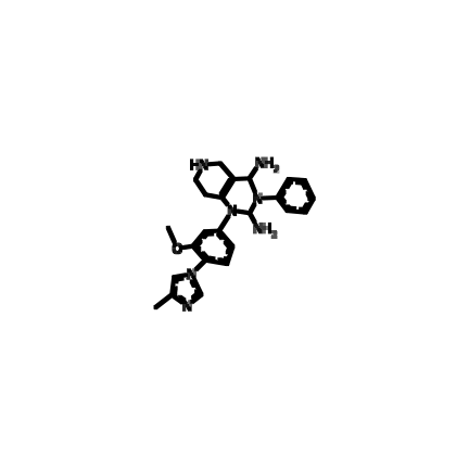 COc1cc(N2C3=C(CNCC3)C(N)N(c3ccccc3)C2N)ccc1-n1cnc(C)c1